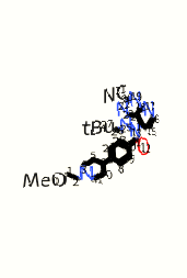 COCCN1CCC(c2ccc(C(=O)N3c4ccnc5nc(C#N)nc(c45)N3CC(C)(C)C)cc2)CC1